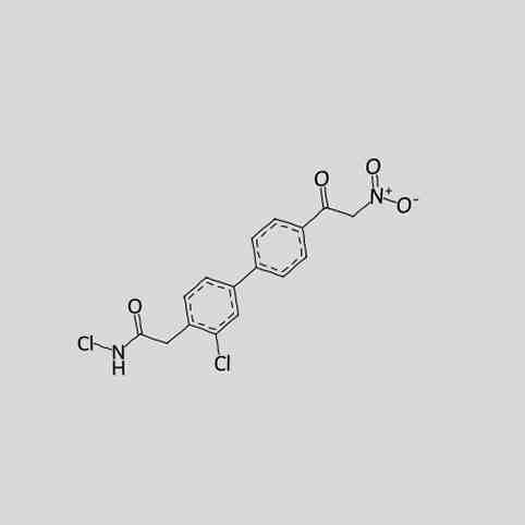 O=C(Cc1ccc(-c2ccc(C(=O)C[N+](=O)[O-])cc2)cc1Cl)NCl